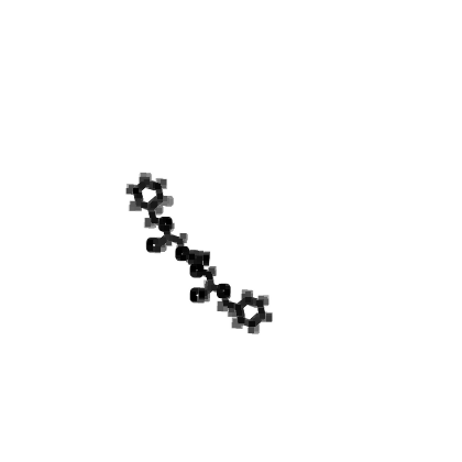 ClC(COBOCC(Cl)OCc1ccccc1)OCc1ccccc1